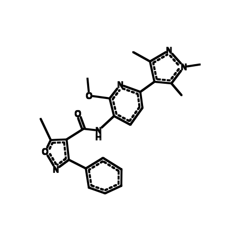 COc1nc(-c2c(C)nn(C)c2C)ccc1NC(=O)c1c(-c2ccccc2)noc1C